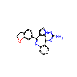 Nc1nc2c3c(ccn3n1)C(c1ccc3c(c1)OCC3)=Nc1ccccc1-2